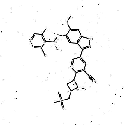 COc1cc2[nH]nc(-c3cnc(N4C[C@H](CS(C)(=O)=O)[C@H]4C)c(C#N)c3)c2cc1O[C@H](N)c1c(Cl)cncc1Cl